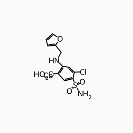 NS(=O)(=O)c1cc(C(=O)O)c(NCc2ccco2)cc1Cl.[Co]